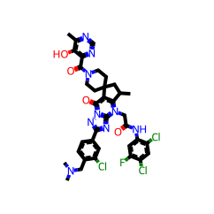 Cc1ncnc(C(=O)N2CCC3(CC2)CC(C)c2c3c(=O)n3nc(-c4ccc(CN(C)C)c(Cl)c4)nc3n2CC(=O)Nc2cc(F)c(Cl)cc2Cl)c1O